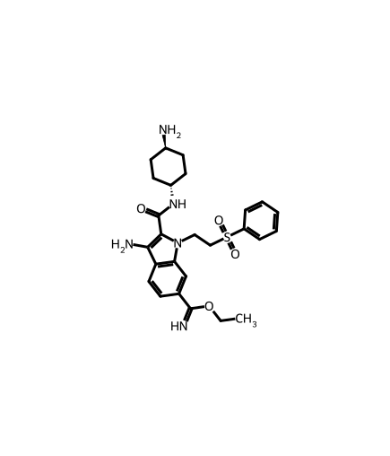 CCOC(=N)c1ccc2c(N)c(C(=O)N[C@H]3CC[C@H](N)CC3)n(CCS(=O)(=O)c3ccccc3)c2c1